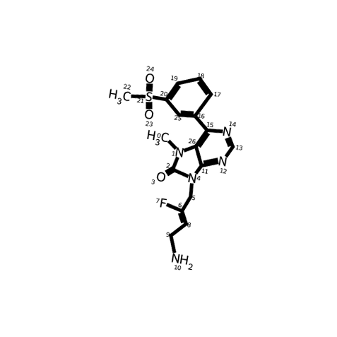 Cn1c(=O)n(C/C(F)=C/CN)c2ncnc(-c3cccc(S(C)(=O)=O)c3)c21